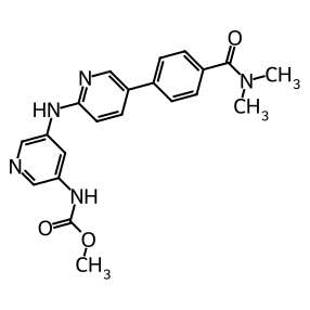 COC(=O)Nc1cncc(Nc2ccc(-c3ccc(C(=O)N(C)C)cc3)cn2)c1